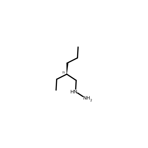 CCC[C@H](CC)CNN